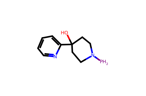 OC1(c2ccccn2)CCN(P)CC1